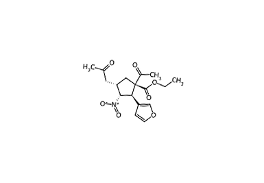 CCOC(=O)[C@]1(C(C)=O)C[C@@H](CC(C)=O)[C@@H]([N+](=O)[O-])[C@@H]1c1ccoc1